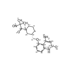 CC(C)(N=O)C(=O)N1CCC[C@H](COc2cccc3c2C(N)=N[S+]([O-])N3)C1